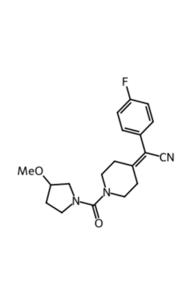 COC1CCN(C(=O)N2CCC(=C(C#N)c3ccc(F)cc3)CC2)C1